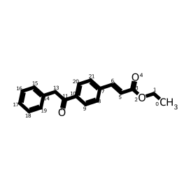 CCOC(=O)/C=C/c1ccc(C(=O)Cc2ccccc2)cc1